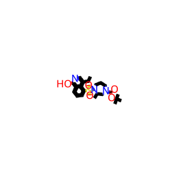 CCc1cnc(O)c2cccc(S(=O)(=O)N3CCCN(C(=O)OC(C)(C)C)CC3C)c12